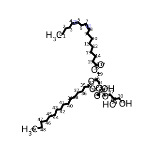 CCCC/C=C\C/C=C\CCCCCCCC(=O)OC[C@H](COP(=O)(O)OC[C@@H](O)CO)OC(=O)CCCCCCCCCCCCCCC